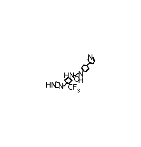 O=C(CNc1ccc(-c2cccnc2)cc1)Nc1ccc(CN2CCNCC2)c(C(F)(F)F)c1